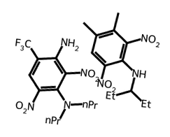 CCC(CC)Nc1c([N+](=O)[O-])cc(C)c(C)c1[N+](=O)[O-].CCCN(CCC)c1c([N+](=O)[O-])cc(C(F)(F)F)c(N)c1[N+](=O)[O-]